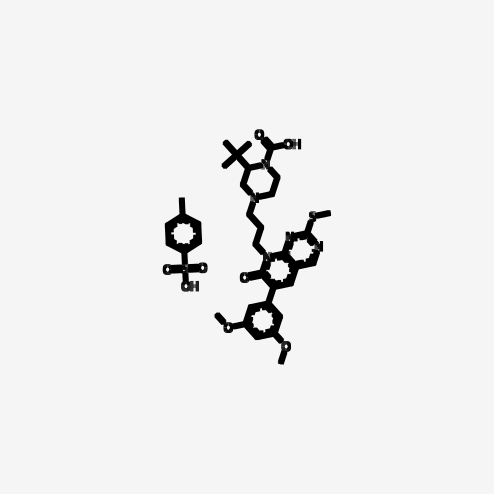 COc1cc(OC)cc(-c2cc3cnc(SC)nc3n(CCCN3CCN(C(=O)O)C(C(C)(C)C)C3)c2=O)c1.Cc1ccc(S(=O)(=O)O)cc1